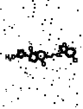 Cc1cn(-c2ccc3n(c2=O)CCN(CCOc2noc4ccc(Cl)cc24)C3=O)cn1